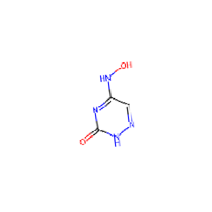 O=c1nc(NO)cn[nH]1